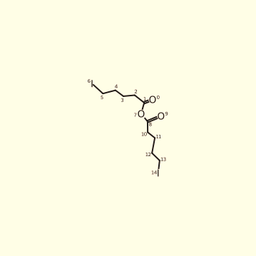 O=C(CCCCI)OC(=O)CCCCI